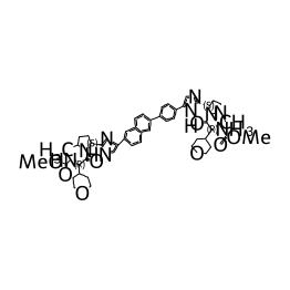 COC(=O)N[C@@H](C(=O)N1C(C)CC[C@H]1c1nc(-c2ccc3cc(-c4ccc(-c5cnc([C@@H]6CCN(C)N6C(=O)[C@H](NC(=O)OC)C6CCOCC6)[nH]5)cc4)ccc3c2)c[nH]1)C1CCOCC1